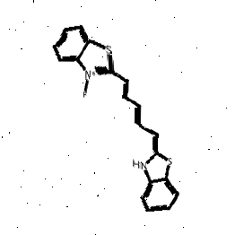 F[n+]1c(C=CC=CC=C2Nc3ccccc3S2)sc2ccccc21